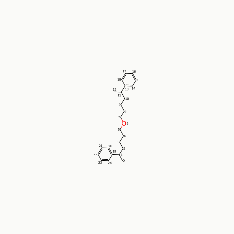 CC(CCCCOCCCCC(C)c1ccccc1)c1ccccc1